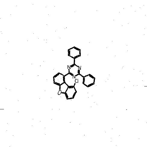 Clc1cccc2oc3cccc(-c4nc(-c5ccccc5)nc(-c5ccccc5)n4)c3c12